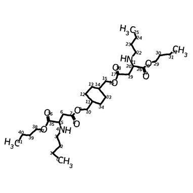 CCCCNC(CC(=O)OCC1CCC(COC(=O)CC(NCCCC)C(=O)OCCCC)CC1)C(=O)OCCCC